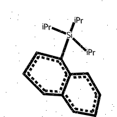 CC(C)[Si](c1cccc2ccccc12)(C(C)C)C(C)C